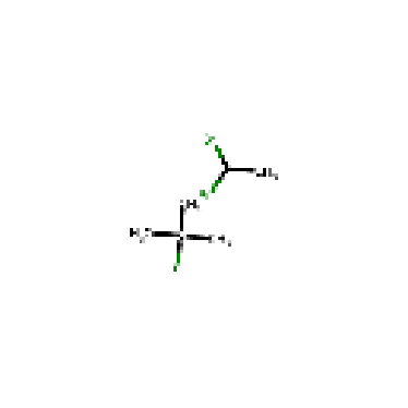 CC(Br)Br.C[Si](C)(C)Cl